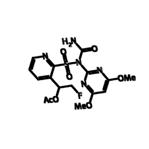 COc1cc(OC)nc(N(C(N)=O)S(=O)(=O)c2ncccc2C(CF)OC(C)=O)n1